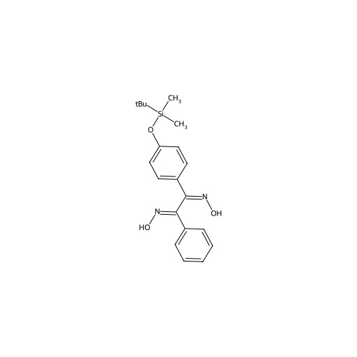 CC(C)(C)[Si](C)(C)Oc1ccc(C(=NO)C(=NO)c2ccccc2)cc1